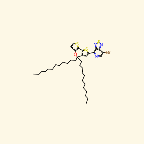 CCCCCCCCCCCCC1(CCCCCCCCCCCC)Oc2ccsc2-c2sc(-c3ncc(Br)c4nsnc34)cc21